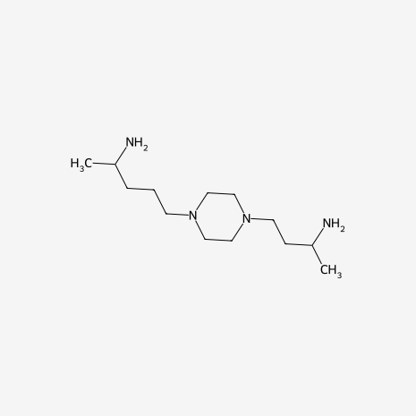 CC(N)CCCN1CCN(CCC(C)N)CC1